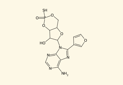 Nc1ncnc2c1nc(-c1ccoc1)n2C1OC2COP(=O)(S)OC2C1O